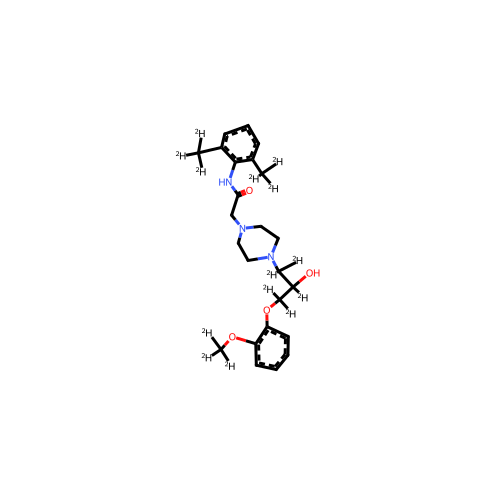 [2H]C([2H])([2H])Oc1ccccc1OC([2H])([2H])C([2H])(O)C([2H])([2H])N1CCN(CC(=O)Nc2c(C([2H])([2H])[2H])cccc2C([2H])([2H])[2H])CC1